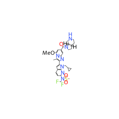 COc1cc(C(=O)N2CC[C@@H]3CCNC[C@@H]32)cc2nc(-c3cc4ccc(N(C(F)F)S(C)(=O)=O)nc4n3CC3CC3)c(C)n12